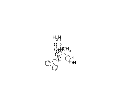 CN(C(=O)[C@@H](Cc1ccc(O)c(I)c1)NC(=O)OCC1c2ccccc2-c2ccccc21)[C@H](CCCN)C(=O)O